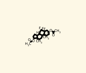 CC(=O)O[C@@H]1CC[C@]2(C)C3CC[C@@]4(C)C(CC[C@@H]4OC(C)=O)[C@@H]3CC(F)(F)[C@@]2(F)C1